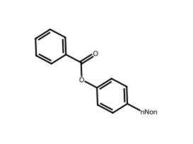 CCCCCCCCCc1ccc(OC(=O)c2ccccc2)cc1